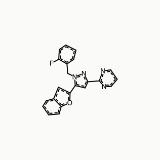 Fc1ccccc1Cn1nc(-c2ncccn2)cc1-c1cc2ccccc2o1